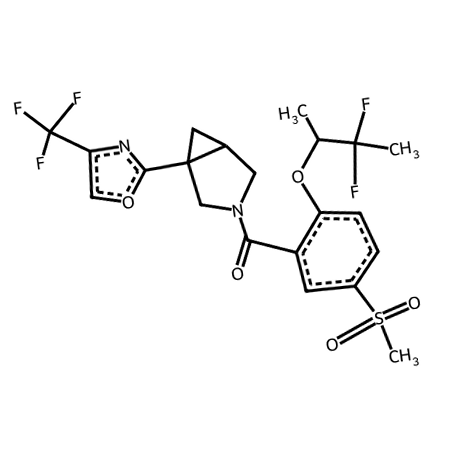 CC(Oc1ccc(S(C)(=O)=O)cc1C(=O)N1CC2CC2(c2nc(C(F)(F)F)co2)C1)C(C)(F)F